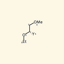 CCOCCOC.[Y]